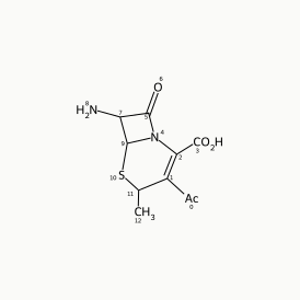 CC(=O)C1=C(C(=O)O)N2C(=O)C(N)C2SC1C